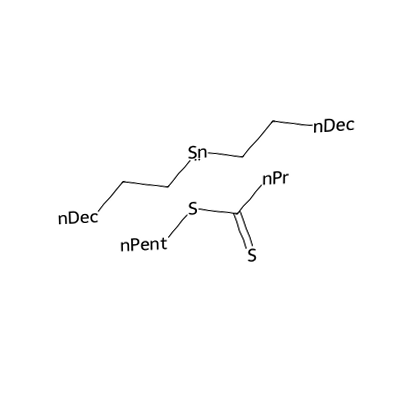 CCCCCCCCCCC[CH2][Sn][CH2]CCCCCCCCCCC.CCCCCSC(=S)CCC